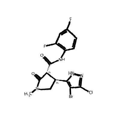 CN1C[C@H](c2[nH]nc(Cl)c2Br)[C@@H](C(=O)Nc2ccc(F)cc2F)C1=O